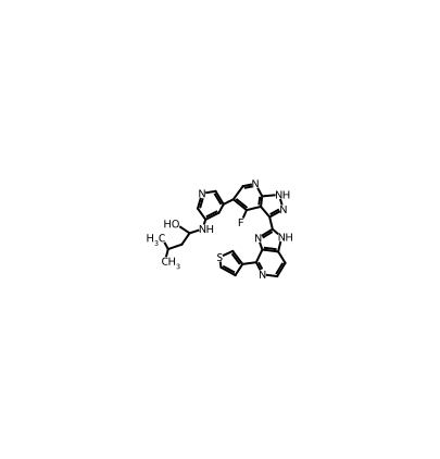 CC(C)CC(O)Nc1cncc(-c2cnc3[nH]nc(-c4nc5c(-c6ccsc6)nccc5[nH]4)c3c2F)c1